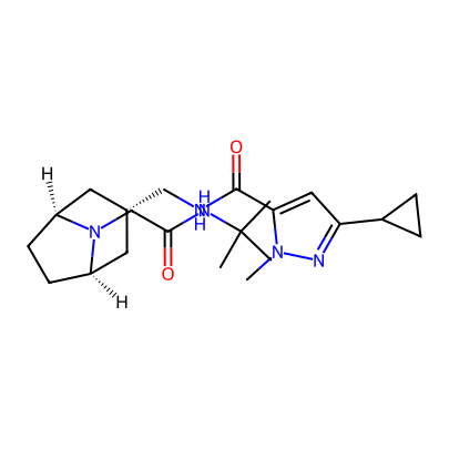 Cn1nc(C2CC2)cc1C(=O)NC[C@@H]1C[C@H]2CC[C@@H](C1)N2CC(=O)NC(C)(C)C